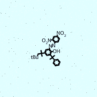 CC(C)(C)CC(C)(C)c1cc(/N=N/c2ccc([N+](=O)[O-])cc2[N+](=O)[O-])c(O)c(C(C)(C)c2ccccc2)c1